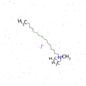 CCCCCCCCCCCCCCCC[N+](C)(C)CC.[I-]